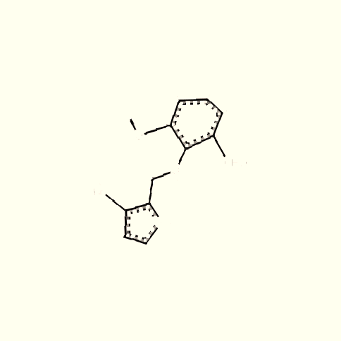 CCOc1cccc(C=O)c1OCc1sccc1Br